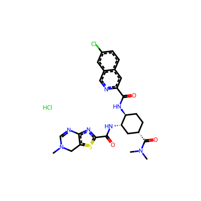 CN1C=Nc2nc(C(=O)N[C@H]3C[C@@H](C(=O)N(C)C)CC[C@@H]3NC(=O)c3cc4ccc(Cl)cc4cn3)sc2C1.Cl